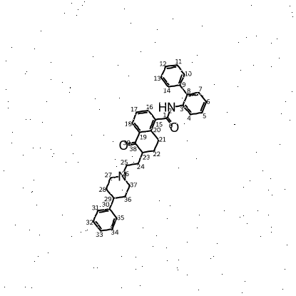 O=C(Nc1ccccc1-c1ccccc1)c1cccc2c1CCC(CCN1CCC(c3ccccc3)CC1)C2=O